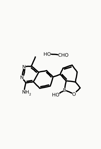 Cc1nnc(N)c2ccc(C3=C4B(O)OCC4CC=C3)cc12.O=CO